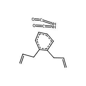 C=CCc1ccccc1CC=C.N=C=O.N=C=O